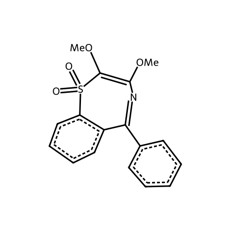 COC1=C(OC)S(=O)(=O)c2ccccc2C(c2ccccc2)=N1